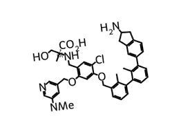 CNc1cncc(COc2cc(OCc3cccc(-c4cccc(-c5ccc6c(c5)CC(N)C6)c4C)c3C)c(Cl)cc2CN[C@@](C)(CO)C(=O)O)c1